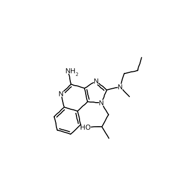 CCCN(C)c1nc2c(N)nc3ccccc3c2n1CC(C)O